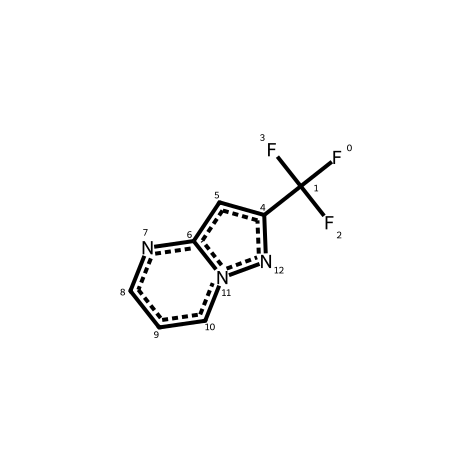 FC(F)(F)c1cc2ncccn2n1